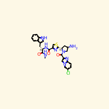 CNC(=O)[C@H](Cc1c[nH]c2ccccc12)NC(=O)c1csc([C@@H]2C[C@@H](N)CN2C(=O)c2cn3cc(Cl)ccc3n2)n1